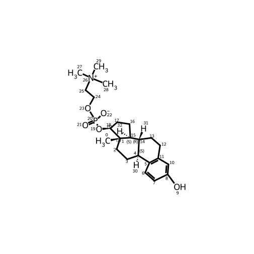 C[C@]12CC[C@@H]3c4ccc(O)cc4CC[C@H]3[C@@H]1CC[C@@H]2OP(=O)([O-])OCC[N+](C)(C)C